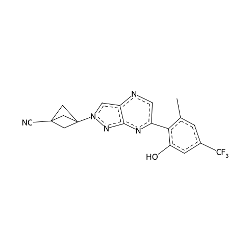 Cc1cc(C(F)(F)F)cc(O)c1-c1cnc2cn(C34CC(C#N)(C3)C4)nc2n1